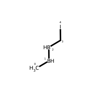 CBBCI